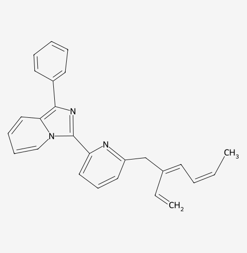 C=C/C(=C\C=C/C)Cc1cccc(-c2nc(-c3ccccc3)c3ccccn23)n1